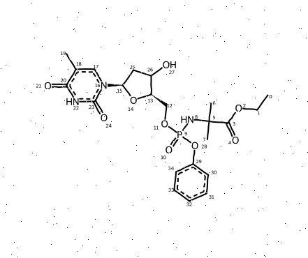 CCOC(=O)C(C)(C)NP(=O)(OC[C@H]1O[C@@H](n2cc(C)c(=O)[nH]c2=O)CC1O)Oc1ccccc1